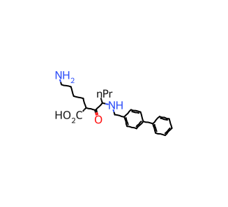 CCCC(NCc1ccc(-c2ccccc2)cc1)C(=O)C(CCCCN)C(=O)O